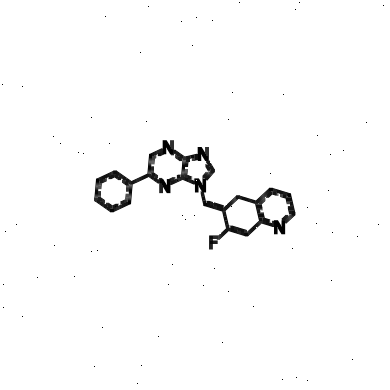 FC1=Cc2ncccc2CC1=Cn1cnc2ncc(-c3ccccc3)nc21